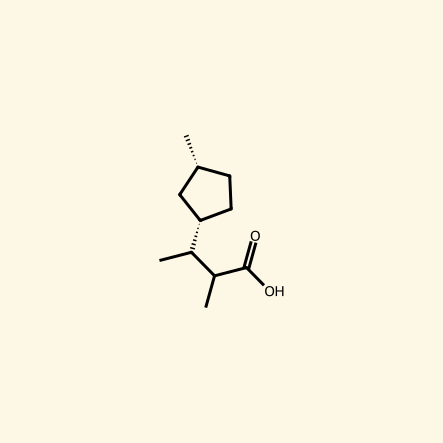 CC(C(=O)O)C(C)[C@H]1CC[C@@H](C)C1